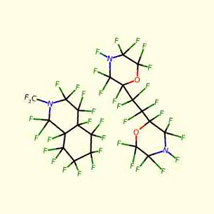 FC(F)(F)N1C(F)(F)C(F)(F)C2(F)C(F)(F)C(F)(F)C(F)(F)C(F)(F)C2(F)C1(F)F.FN1C(F)(F)C(F)(F)OC(F)(C(F)(F)C(F)(F)C2(F)OC(F)(F)C(F)(F)N(F)C2(F)F)C1(F)F